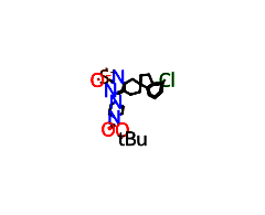 C[S+]([O-])c1nc2c(c(N3CCN(C(=O)OC(C)(C)C)CC3)n1)CCC1(CCc3c(Cl)cccc31)C2